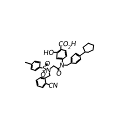 Cc1ccc(S(=O)(=O)N(CC(=O)N(Cc2ccc(C3CCCCC3)cc2)c2ccc(C(=O)O)c(O)c2)Cc2ccccc2C#N)cc1